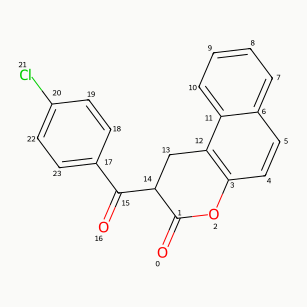 O=C1Oc2ccc3ccccc3c2CC1C(=O)c1ccc(Cl)cc1